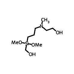 CO[Si](CO)(CCCN(C)CCO)OC